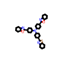 c1ccc2oc(-c3ccc(N(c4ccc(-c5nc6ccccc6o5)cc4)c4ccc(-c5nc6ccccc6s5)cc4)cc3)nc2c1